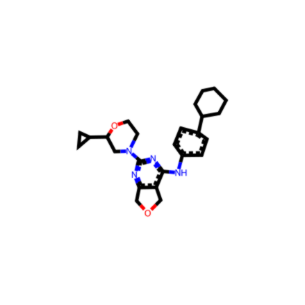 c1cc(C2CCCCC2)ccc1Nc1nc(N2CCOC(C3CC3)C2)nc2c1COC2